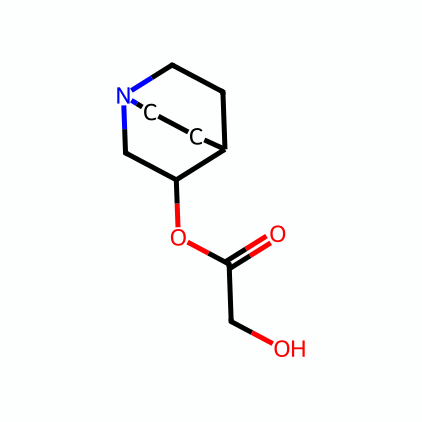 O=C(CO)OC1CN2CCC1CC2